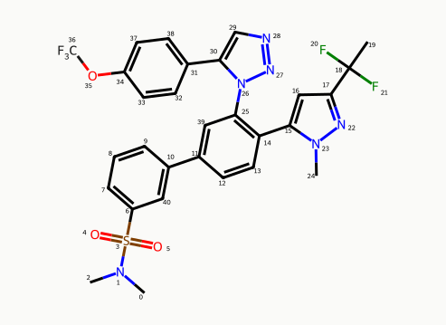 CN(C)S(=O)(=O)c1cccc(-c2ccc(-c3cc(C(C)(F)F)nn3C)c(-n3nncc3-c3ccc(OC(F)(F)F)cc3)c2)c1